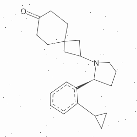 O=C1CCC2(CC1)CC(N1CCC[C@H]1c1ccccc1C1CC1)C2